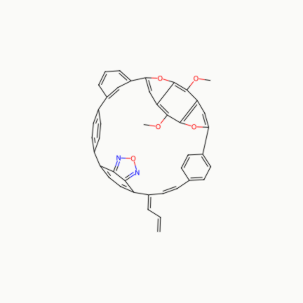 C=C/C=c1\ccc2ccc(cc2)c2cc3c(OC)c4oc(cc4c(OC)c3o2)c2cccc(c2)c2ccc(cc2)c2ccc1c1nonc21